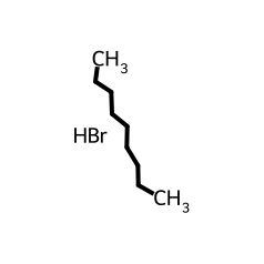 Br.CCCCCCCCC